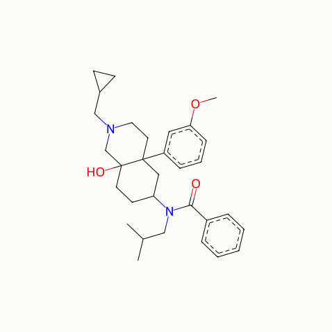 COc1cccc(C23CCN(CC4CC4)CC2(O)CCC(N(CC(C)C)C(=O)c2ccccc2)C3)c1